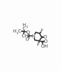 CC(C)(C)OC(=O)N1CC(F)C(=O)C(F)(C(=O)O)C1